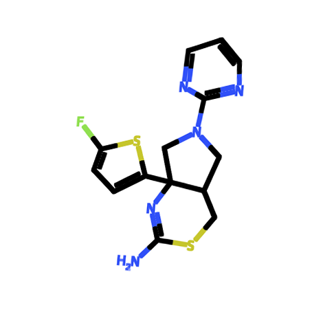 NC1=NC2(c3ccc(F)s3)CN(c3ncccn3)CC2CS1